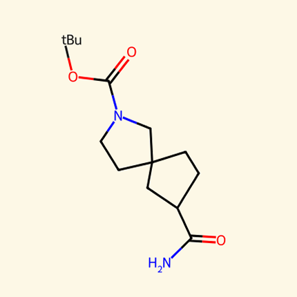 CC(C)(C)OC(=O)N1CCC2(CCC(C(N)=O)C2)C1